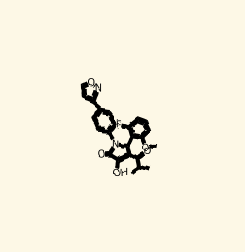 COc1cccc(F)c1C1C(C(=O)C(C)C)=C(O)C(=O)N1c1ccc(-c2ccon2)cc1